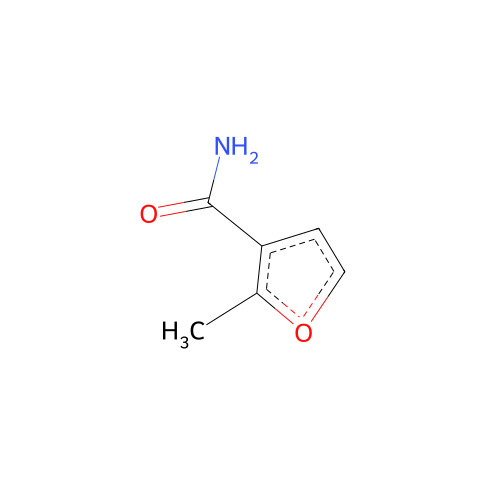 Cc1occc1C(N)=O